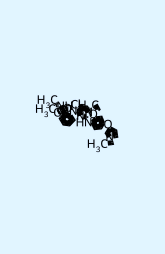 CCOc1cc(OC2CCN(CC)C2)ccc1Nc1ncc(Cl)c(Nc2ccccc2S(=O)(=O)NC(C)C)n1